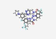 N=C1N[C@](CCCC(F)(F)F)(c2ccc(F)cc2)C(=O)N1Cc1ccc(C(F)(F)F)c(C(=O)N2Cc3cnc(-c4cccc(N5CCCC5)c4)nc3C2)c1